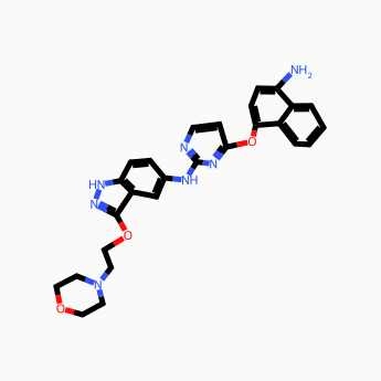 Nc1ccc(Oc2ccnc(Nc3ccc4[nH]nc(OCCN5CCOCC5)c4c3)n2)c2ccccc12